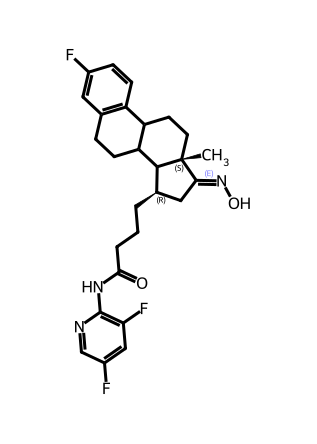 C[C@]12CCC3c4ccc(F)cc4CCC3C1[C@H](CCCC(=O)Nc1ncc(F)cc1F)C/C2=N\O